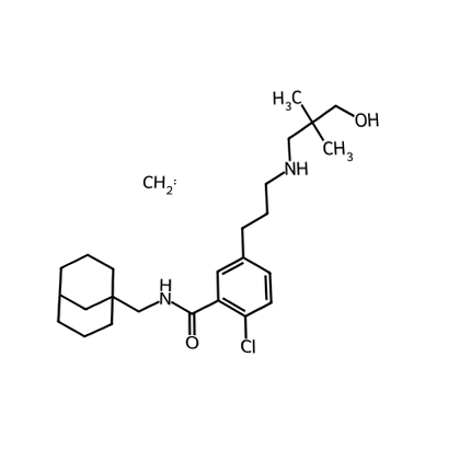 CC(C)(CO)CNCCCc1ccc(Cl)c(C(=O)NCC23CCCC(CCC2)C3)c1.[CH2]